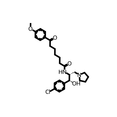 COc1ccc(C(=O)CCCCCC(=O)N[C@H](CN2CCCC2)[C@H](O)c2ccc(Cl)cc2)cc1